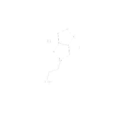 OCCN1C[C@H]2CCC[C@H]2C1